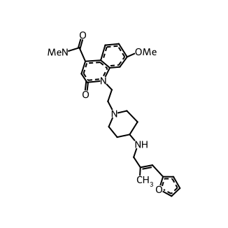 CNC(=O)c1cc(=O)n(CCN2CCC(NCC(C)=Cc3ccco3)CC2)c2cc(OC)ccc12